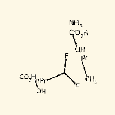 CC(C)C.CCCC(F)F.N.O=C(O)O.O=C(O)O